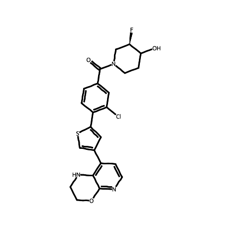 O=C(c1ccc(-c2cc(-c3ccnc4c3NCCO4)cs2)c(Cl)c1)N1CCC(O)[C@H](F)C1